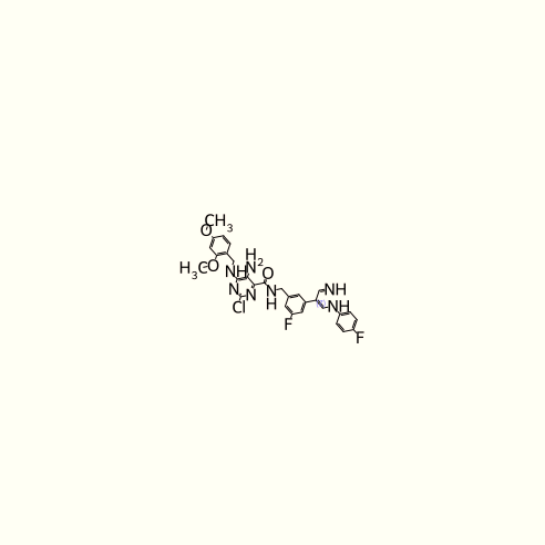 COc1ccc(CNc2nc(Cl)nc(C(=O)NCc3cc(F)cc(/C(C=N)=C/Nc4ccc(F)cc4)c3)c2N)c(OC)c1